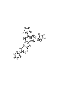 c1cnc(N2CCN(Cc3cnc(N4CCCC4)n4nc(-c5ccco5)nc34)CC2)nc1